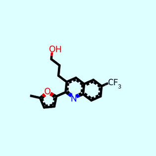 Cc1ccc(-c2nc3ccc(C(F)(F)F)cc3cc2CCCO)o1